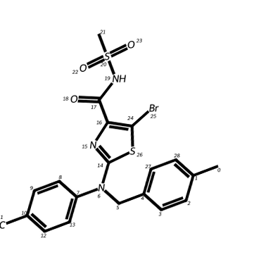 Cc1ccc(CN(c2ccc(C#N)cc2)c2nc(C(=O)NS(C)(=O)=O)c(Br)s2)cc1